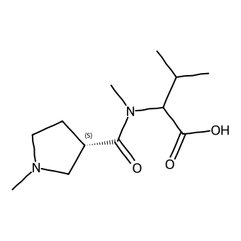 CC(C)C(C(=O)O)N(C)C(=O)[C@H]1CCN(C)C1